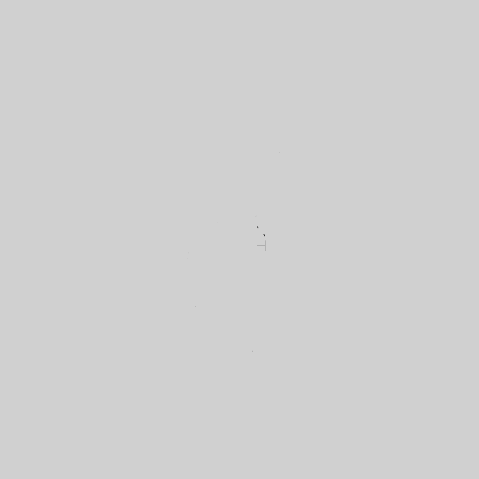 C=C(CCC)CNC(=C)C(=C)C